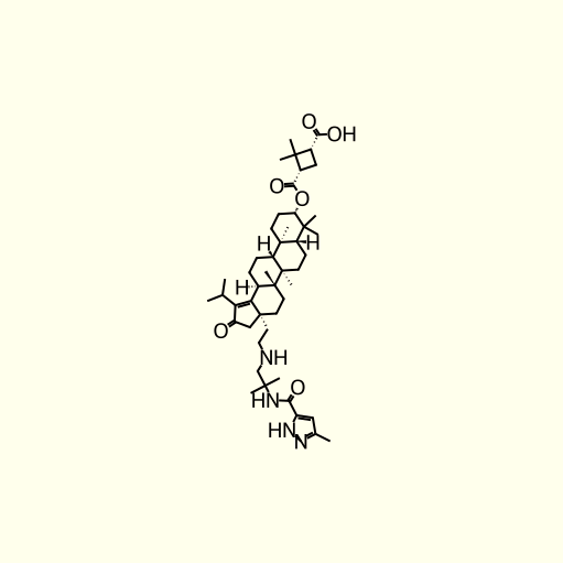 Cc1cc(C(=O)NC(C)(C)CNCC[C@@]23CC[C@]4(C)[C@H](CC[C@@H]5[C@@]6(C)CC[C@H](OC(=O)[C@H]7C[C@@H](C(=O)O)C7(C)C)C(C)(C)[C@@H]6CC[C@]54C)C2=C(C(C)C)C(=O)C3)[nH]n1